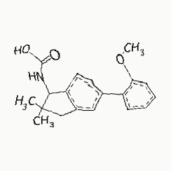 COc1ccccc1-c1ccc2c(c1)CC(C)(C)C2NC(=O)O